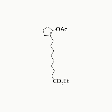 CCOC(=O)CCCCCCCCC1=C(OC(C)=O)CCC1